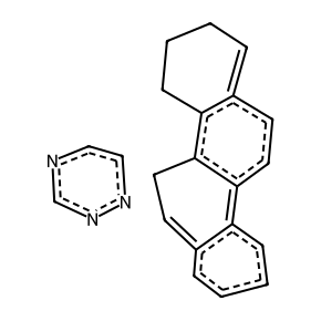 C1=c2ccc3c(c2CCC1)CC=c1ccccc1=3.c1cnncn1